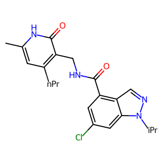 CCCc1cc(C)[nH]c(=O)c1CNC(=O)c1cc(Cl)cc2c1cnn2C(C)C